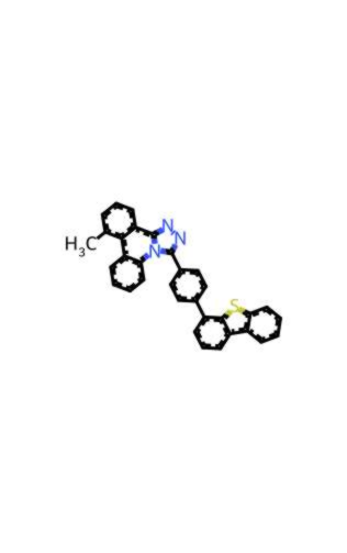 Cc1cccc2c1c1ccccc1n1c(-c3ccc(-c4cccc5c4sc4ccccc45)cc3)nnc21